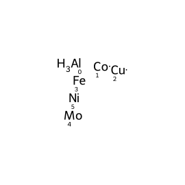 [AlH3].[Co].[Cu].[Fe].[Mo].[Ni]